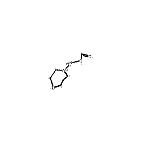 O=CONN1CCOCC1